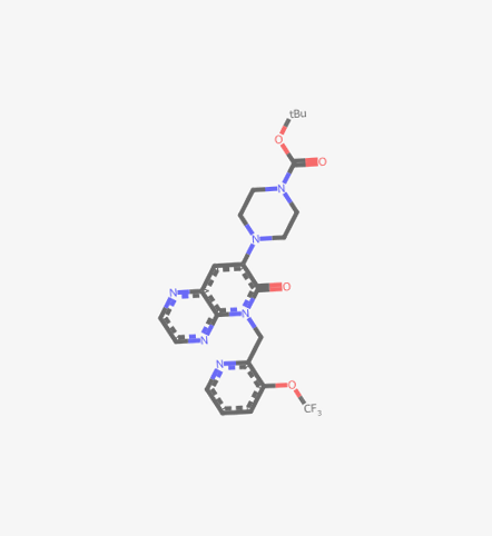 CC(C)(C)OC(=O)N1CCN(c2cc3nccnc3n(Cc3ncccc3OC(F)(F)F)c2=O)CC1